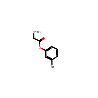 CCCCCCCCC(=O)Oc1cccc(C(C)=O)c1